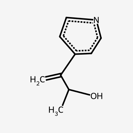 C=C(c1ccncc1)C(C)O